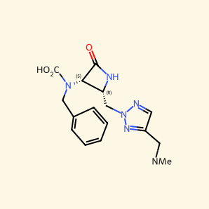 CNCc1cnn(C[C@H]2NC(=O)[C@H]2N(Cc2ccccc2)C(=O)O)n1